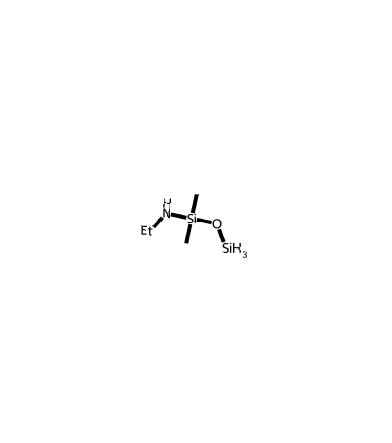 CCN[Si](C)(C)O[SiH3]